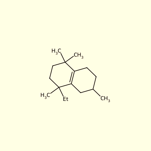 CCC1(C)CCC(C)(C)C2=C1CC(C)CC2